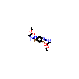 CCOC(=O)C(C)Nc1nc2cc3nc(NC(C)C(=O)OCC)sc3cc2s1